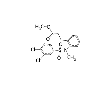 COC(=O)CCc1ccccc1N(C)S(=O)(=O)c1ccc(Cl)c(Cl)c1